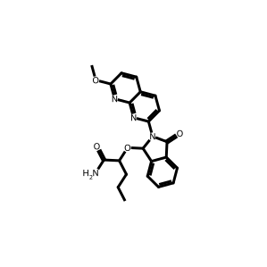 CCCC(OC1c2ccccc2C(=O)N1c1ccc2ccc(OC)nc2n1)C(N)=O